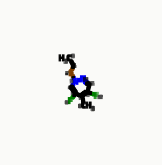 CCSN1C=C(F)C(C)=C(F)C=N1